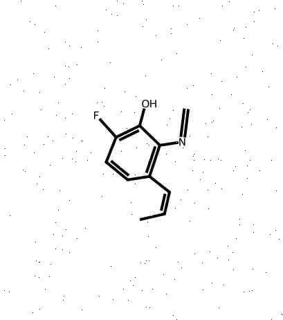 C=Nc1c(/C=C\C)ccc(F)c1O